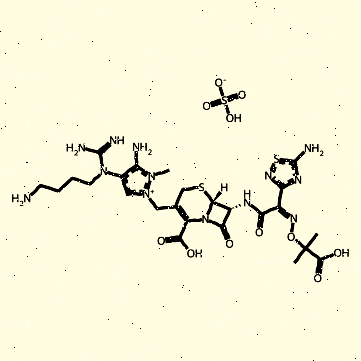 Cn1c(N)c(N(CCCCN)C(=N)N)c[n+]1CC1=C(C(=O)O)N2C(=O)[C@@H](NC(=O)/C(=N\OC(C)(C)C(=O)O)c3nsc(N)n3)[C@H]2SC1.O=S(=O)([O-])O